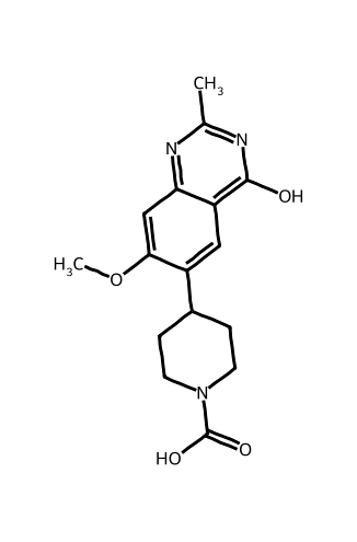 COc1cc2nc(C)nc(O)c2cc1C1CCN(C(=O)O)CC1